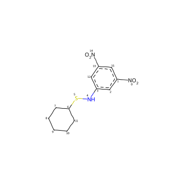 O=[N+]([O-])c1cc(NSC2CCCCC2)cc([N+](=O)[O-])c1